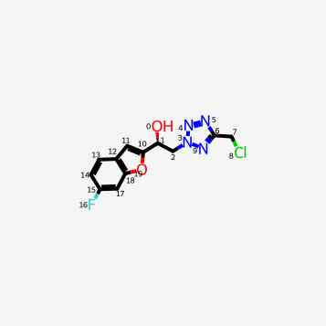 O[C@@H](Cn1nnc(CCl)n1)c1cc2ccc(F)cc2o1